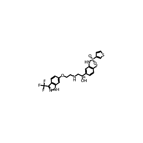 O=S(=O)(Nc1cc([C@@H](O)CNCCOc2ccc3c(C(F)(F)F)n[nH]c3c2)ccc1F)c1ccsc1